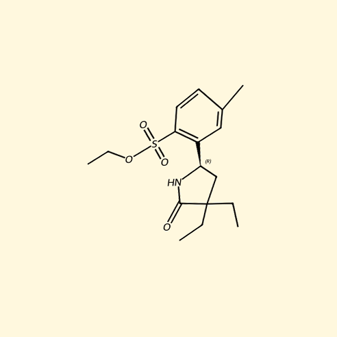 CCOS(=O)(=O)c1ccc(C)cc1[C@H]1CC(CC)(CC)C(=O)N1